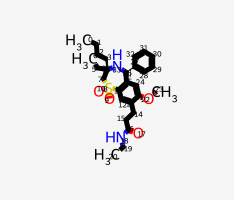 CCCC[C@]1(CC)CS(=O)(=O)c2cc(CCC(=O)NCC)c(OC)cc2[C@@H](c2ccccc2)N1